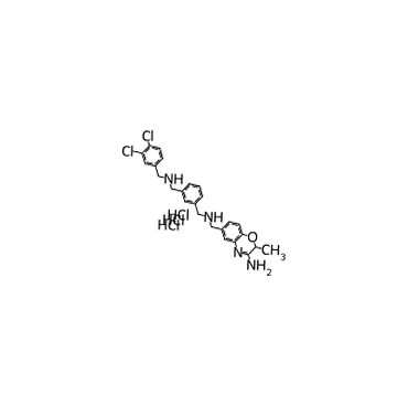 CC1Oc2ccc(CNCc3cccc(CNCc4ccc(Cl)c(Cl)c4)c3)cc2N=C1N.Cl.Cl.Cl